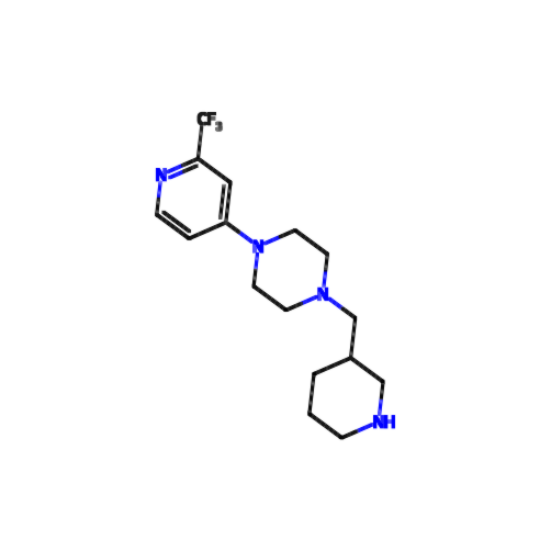 FC(F)(F)c1cc(N2CCN(CC3CCCNC3)CC2)ccn1